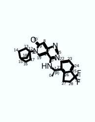 C[C@@H](Nc1ncnc2cc(=O)n(C34CCC(CC3)C4)cc12)c1cccc2c1CCC2(F)F